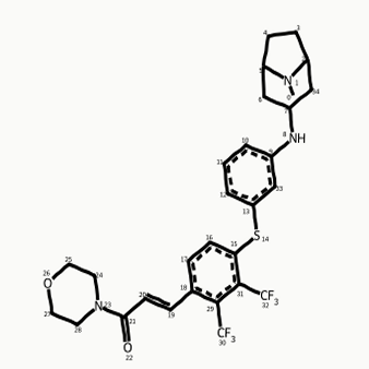 CN1C2CCC1CC(Nc1cccc(Sc3ccc(C=CC(=O)N4CCOCC4)c(C(F)(F)F)c3C(F)(F)F)c1)C2